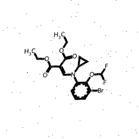 CCOC(=O)C(=CN(c1cccc(Br)c1OC(F)F)C1CC1)C(=O)OCC